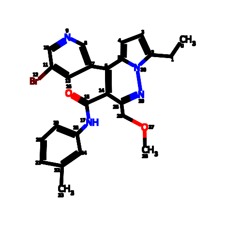 CCc1ccc2c(-c3cncc(Br)c3)c(C(=O)Nc3cccc(C)c3)c(COC)nn12